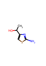 C[C](O)c1csc(N)n1